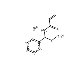 C=CC(=O)NC(CS(=O)(=O)O)c1ccccc1.[NaH]